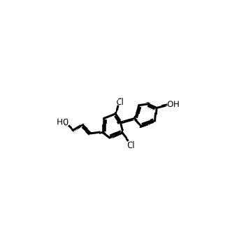 OCC=Cc1cc(Cl)c(-c2ccc(O)cc2)c(Cl)c1